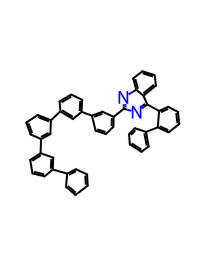 c1ccc(-c2cccc(-c3cccc(-c4cccc(-c5cccc(-c6nc(-c7ccccc7-c7ccccc7)c7ccccc7n6)c5)c4)c3)c2)cc1